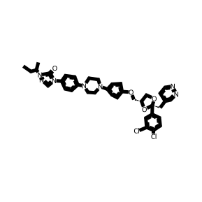 CCC(C)n1ncn(-c2ccc(N3CCN(c4ccc(OC[C@@H]5CO[C@@](Cc6ccnnc6)(c6ccc(Cl)c(Cl)c6)O5)cc4)CC3)cc2)c1=O